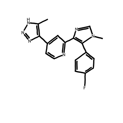 Cc1[nH]nnc1-c1ccnc(-c2ncn(C)c2-c2ccc(F)cc2)c1